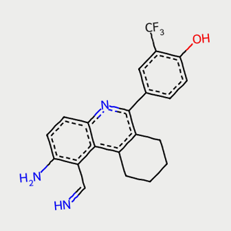 N=Cc1c(N)ccc2nc(-c3ccc(O)c(C(F)(F)F)c3)c3c(c12)CCCC3